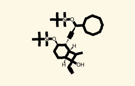 C=CC1(O)C(C)[C@@H]2[C@@H](C#C[C@@H](O[Si](C)(C)C(C)(C)C)C3CCCCCCC3)[C@H](O[Si](C)(C)C(C)(C)C)CC[C@@H]21